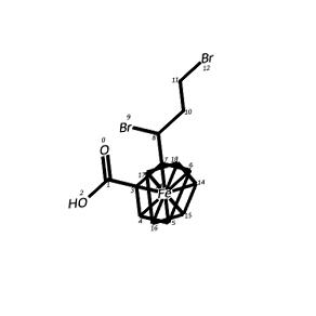 O=C(O)[C]12[CH]3[CH]4[CH]5[C]1(C(Br)CCBr)[Fe]43521678[CH]2[CH]1[CH]6[CH]7[CH]28